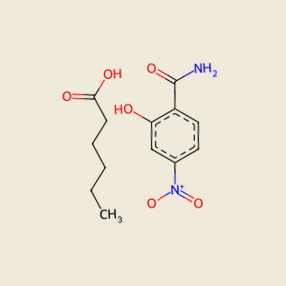 CCCCCC(=O)O.NC(=O)c1ccc([N+](=O)[O-])cc1O